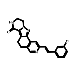 O=C1NCCn2nc3c(c21)CCc1cnc(C=Cc2cccc(Cl)c2)cc1-3